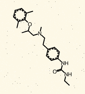 CCNC(=O)Nc1ccc(CCN(C)CC(C)Oc2c(C)cccc2C)cc1